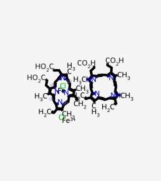 C=CC1=C(C)/C2=C/c3c(C=C)c(C)c4[n]3[Fe]([Cl])[n]3/c(c(C)c(CCC(=O)O)/c3=C/C3=NC(=C\4)/C(C)=C3CCC(=O)O)=C\C1=N2.C=CC1=C(C)c2cc3[nH]c(cc4nc(cc5[nH]c(cc1n2)c(C)c5CCC(=O)O)C(CCC(=O)O)=C4C)c(C)c3C=C.[Cl-].[Fe+3]